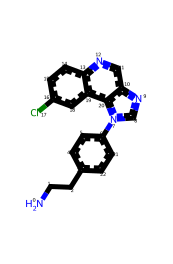 NCCc1ccc(-n2cnc3cnc4ccc(Cl)cc4c32)cc1